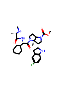 CN[C@@H](C)C(=O)N[C@H](C(=O)N1CCC2[C@H]1[C@@H](C1Cc3cc(F)ccc3N1)CN2C(=O)OC)C1CCCCC1